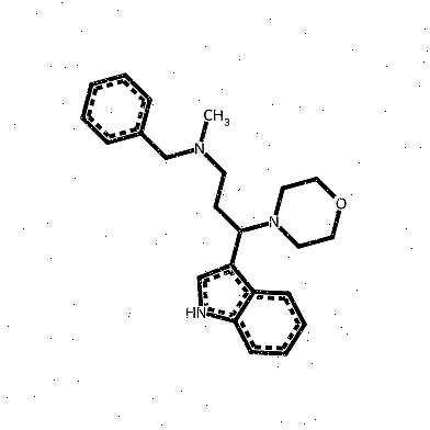 CN(CCC(c1c[nH]c2ccccc12)N1CCOCC1)Cc1ccccc1